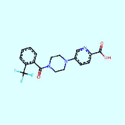 O=C(O)c1ccc(N2CCN(C(=O)c3ccccc3C(F)(F)F)CC2)cn1